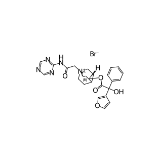 O=C(C[N+]12CCC(CC1)[C@@H](OC(=O)C(O)(c1ccccc1)c1ccoc1)C2)Nc1ncncn1.[Br-]